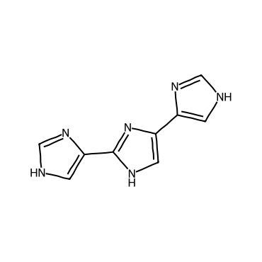 c1nc(-c2c[nH]c(-c3c[nH]cn3)n2)c[nH]1